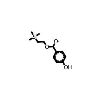 C[Si](C)(C)CCOC([O])c1ccc(O)cc1